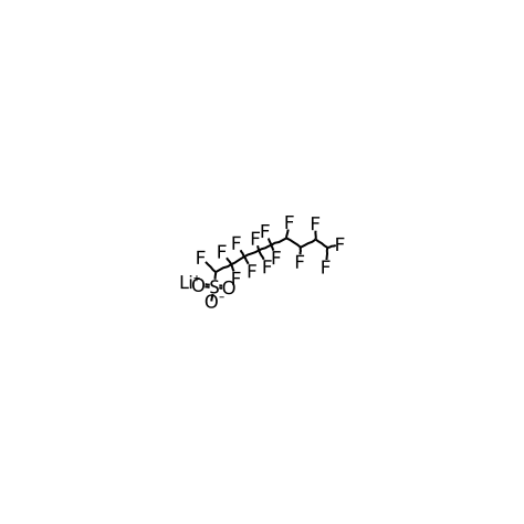 O=S(=O)([O-])C(F)C(F)(F)C(F)(F)C(F)(F)C(F)(F)C(F)C(F)C(F)C(F)F.[Li+]